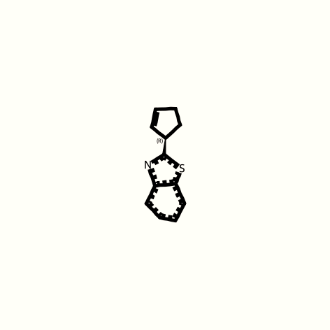 C1=C[C@H](c2nc3ccccc3s2)CC1